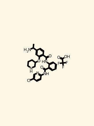 CC(N)c1ccc(C(=O)Nc2ccccc2C(=O)Nc2ccc(Cl)cn2)c(OC2CCCNC2)c1.O=C(O)C(F)(F)F